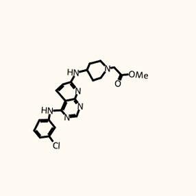 COC(=O)CN1CCC(Nc2ccc3c(Nc4cccc(Cl)c4)ncnc3n2)CC1